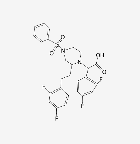 O=C(O)C(c1ccc(F)cc1F)N1CCN(S(=O)(=O)c2ccccc2)CC1CCc1ccc(F)cc1F